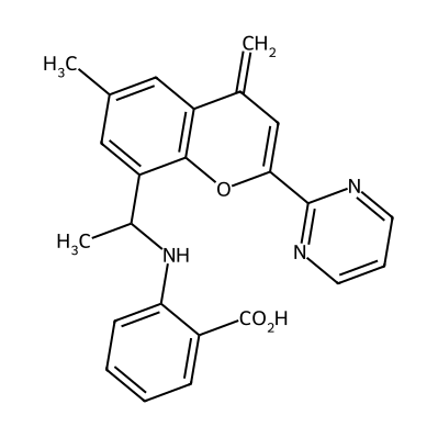 C=C1C=C(c2ncccn2)Oc2c1cc(C)cc2C(C)Nc1ccccc1C(=O)O